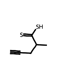 C#CCC(C)C(=S)S